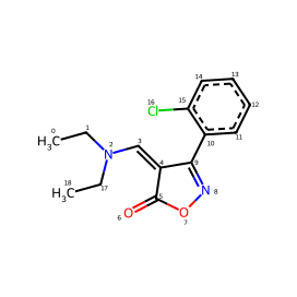 CCN(C=C1C(=O)ON=C1c1ccccc1Cl)CC